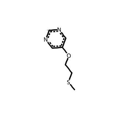 CSCCOc1cn[c]nc1